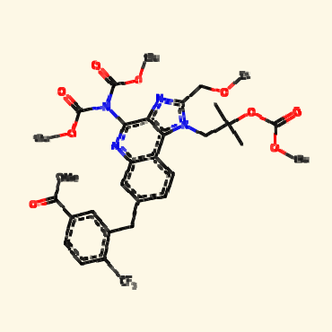 CCOCc1nc2c(N(C(=O)OC(C)(C)C)C(=O)OC(C)(C)C)nc3cc(Cc4cc(C(=O)OC)ccc4C(F)(F)F)ccc3c2n1CC(C)(C)OC(=O)OC(C)(C)C